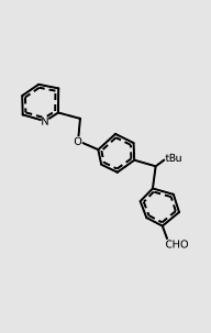 CC(C)(C)C(c1ccc(C=O)cc1)c1ccc(OCc2ccccn2)cc1